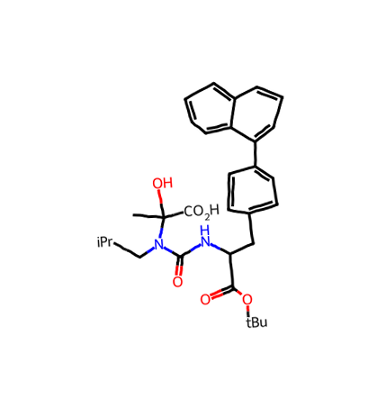 CC(C)CN(C(=O)NC(Cc1ccc(-c2cccc3ccccc23)cc1)C(=O)OC(C)(C)C)C(C)(O)C(=O)O